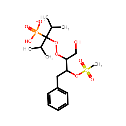 CC(C)C(OOC(CO)C(Cc1ccccc1)OS(C)(=O)=O)(C(C)C)P(=O)(O)O